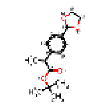 CC(C(=O)OC(C)(C)C)c1ccc(C2OCCO2)cc1